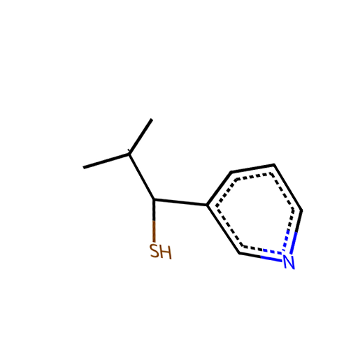 C[C](C)C(S)c1cccnc1